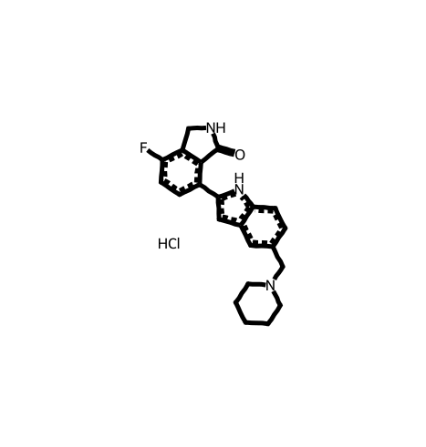 Cl.O=C1NCc2c(F)ccc(-c3cc4cc(CN5CCCCC5)ccc4[nH]3)c21